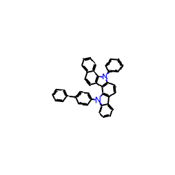 c1ccc(-c2ccc(-n3c4ccccc4c4ccc5c(c6ccc7ccccc7c6n5-c5ccccc5)c43)cc2)cc1